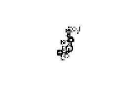 O=C(O)Oc1cc2c(Br)c(N3CCCN(C(=O)c4c(Cl)cccc4Cl)CC3)ccc2o1